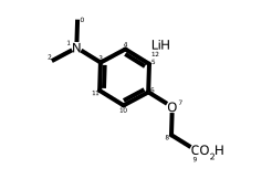 CN(C)c1ccc(OCC(=O)O)cc1.[LiH]